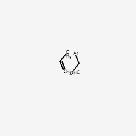 C=CC.CC(=O)CC=O